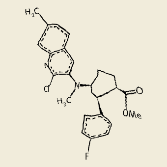 COC(=O)[C@@H]1CC[C@H](N(C)c2cc3ccc(C)cc3nc2Cl)[C@@H]1c1ccc(F)cc1